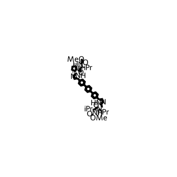 CCCN(Cc1ncc(-c2ccc(-c3ccc(-c4ccc(-c5cnc([C@@H]6CCCN6C(=O)[C@@H](NC(=O)OC)C(C)C)[nH]5)cc4)cc3)cc2)[nH]1)C(=O)[C@@H](NC(=O)OC)C(C)C